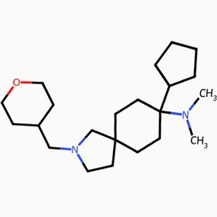 CN(C)C1(C2CCCC2)CCC2(CCN(CC3CCOCC3)C2)CC1